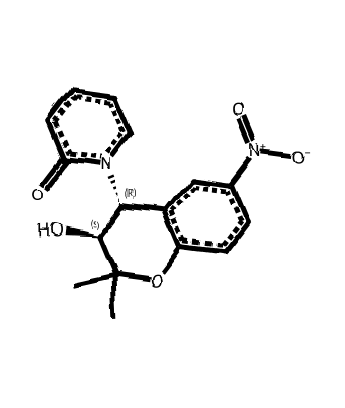 CC1(C)Oc2ccc([N+](=O)[O-])cc2[C@@H](n2ccccc2=O)[C@@H]1O